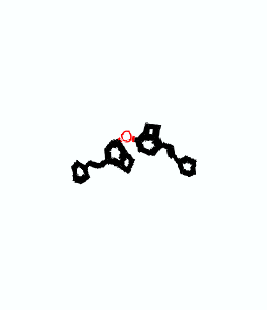 C(=Cc1ccc(Oc2ccc(C=Cc3ccccc3)c3c2CC3)c2c1CC2)c1ccccc1